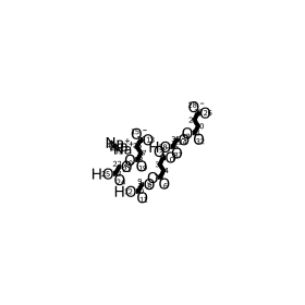 O=C([O-])CCC(=O)OOCC(=O)O.O=C([O-])CCC(=O)OOCC(=O)O.O=C([O-])CCC(=O)OOCC(=O)O.[Na+].[Na+].[Na+]